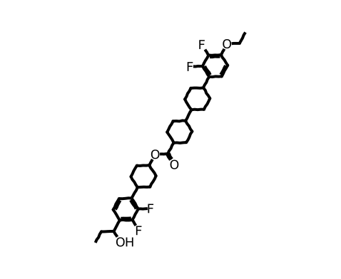 CCOc1ccc(C2CCC(C3CCC(C(=O)OC4CCC(c5ccc(C(O)CC)c(F)c5F)CC4)CC3)CC2)c(F)c1F